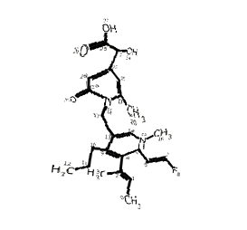 C/C=C(C)/C(C/C=C/F)=C(CCC)/C(=C\NC)Cn1c(C)cc(C(O)C(=O)O)cc1=O